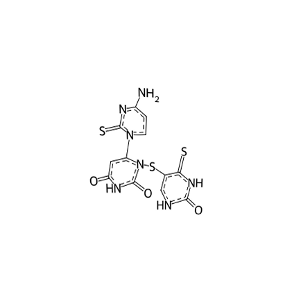 Nc1ccn(-c2cc(=O)[nH]c(=O)n2Sc2c[nH]c(=O)[nH]c2=S)c(=S)n1